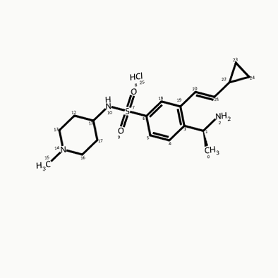 C[C@H](N)c1ccc(S(=O)(=O)NC2CCN(C)CC2)cc1/C=C/C1CC1.Cl